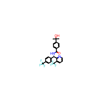 CC(C)(O)c1ccc(C(=O)N[C@@H](c2ccc(C(F)(F)F)cc2)c2ncccc2C(F)(F)F)cc1